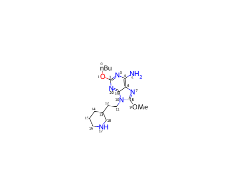 CCCCOc1nc(N)c2nc(OC)n(CCC3CCCNC3)c2n1